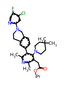 Cc1nc(C)c(-c2ccc3c(c2)CCN(c2cc(Cl)c(F)cn2)C3)c(N2CCC(C)(C)CC2)c1CC(=O)OC(C)C